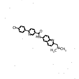 CN(C)Cc1ccc2cc(NC(=O)c3ccc(-c4ccc(Cl)cc4)nc3)ccc2n1